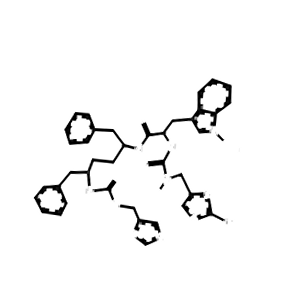 CC(C)c1nc(CN(C)C(=O)NC(Cc2cn(C)c3ccccc23)C(=O)NC(CCC(Cc2ccccc2)NC(=O)OCc2cncs2)Cc2ccccc2)cs1